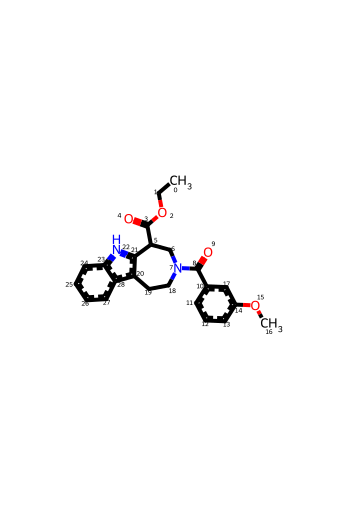 CCOC(=O)C1CN(C(=O)c2cccc(OC)c2)CCc2c1[nH]c1ccccc21